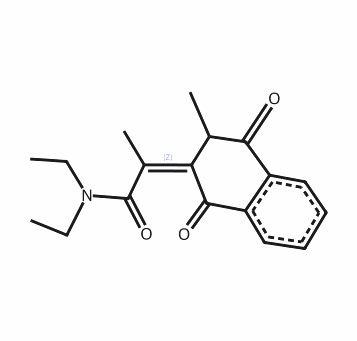 CCN(CC)C(=O)/C(C)=C1\C(=O)c2ccccc2C(=O)C1C